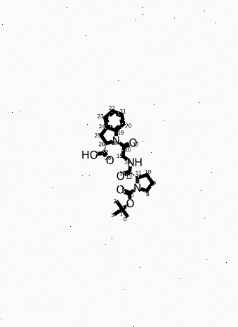 CC(C)(C)OC(=O)N1CCC[C@H]1C(=O)NCC(=O)N1c2ccccc2C[C@H]1C(=O)O